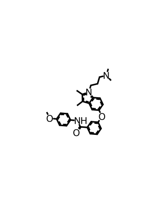 COc1ccc(NC(=O)c2cccc(Oc3ccc4c(c3)c(C)c(C)n4CCCN(C)C)c2)cc1